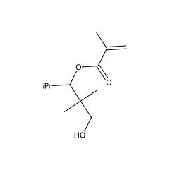 C=C(C)C(=O)OC(C(C)C)C(C)(C)CO